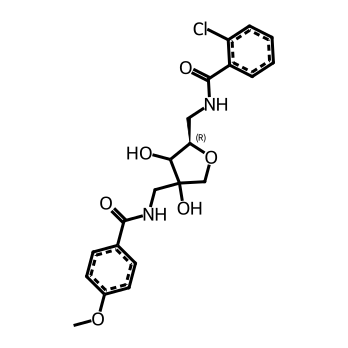 COc1ccc(C(=O)NCC2(O)CO[C@H](CNC(=O)c3ccccc3Cl)C2O)cc1